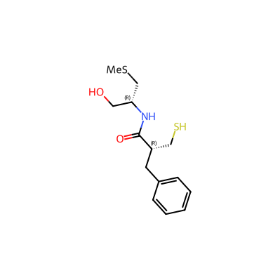 CSC[C@@H](CO)NC(=O)[C@H](CS)Cc1ccccc1